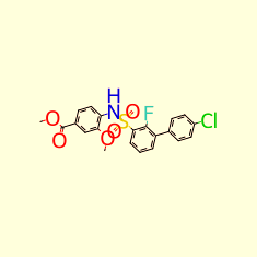 COC(=O)c1ccc(NS(=O)(=O)c2cccc(-c3ccc(Cl)cc3)c2F)c(OC)c1